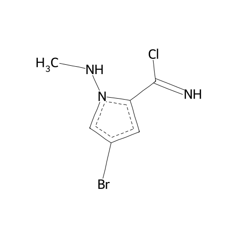 CNn1cc(Br)cc1C(=N)Cl